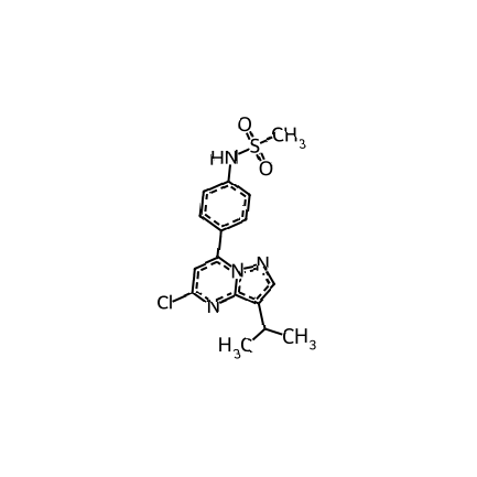 CC(C)c1cnn2c(-c3ccc(NS(C)(=O)=O)cc3)cc(Cl)nc12